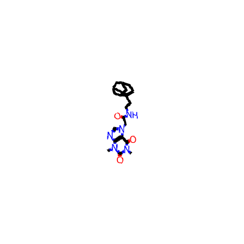 Cn1c(=O)c2c(ncn2CC(=O)NCCC2C3CC4CC(C3)CC2C4)n(C)c1=O